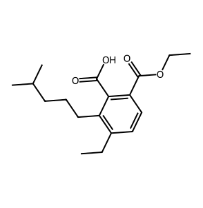 CCOC(=O)c1ccc(CC)c(CCCC(C)C)c1C(=O)O